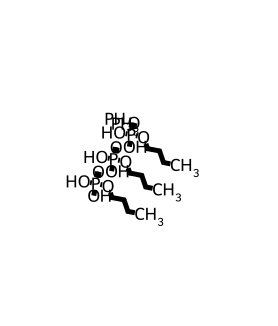 CCCCOP(=O)(O)O.CCCCOP(=O)(O)O.CCCCOP(=O)(O)O.P.P